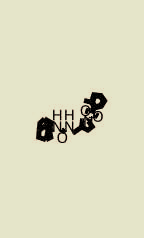 Cc1ccccc1S(=O)(=O)N1CCC(CNC(=O)NC23CC4CC(CC(C4)C2)C3)C1